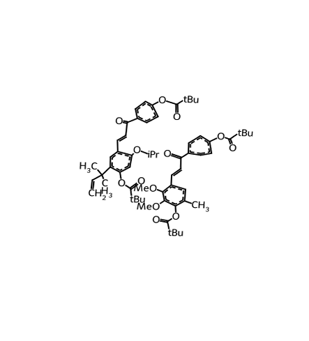 C=CC(C)(C)c1cc(C=CC(=O)c2ccc(OC(=O)C(C)(C)C)cc2)c(OC(C)C)cc1OC(=O)C(C)(C)C.COc1c(C=CC(=O)c2ccc(OC(=O)C(C)(C)C)cc2)cc(C)c(OC(=O)C(C)(C)C)c1OC